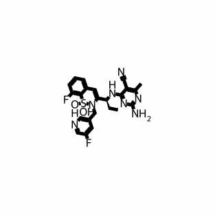 CC[C@H](Nc1nc(N)nc(C)c1C#N)C1=Cc2cccc(F)c2S(O)(O)N1Cc1cncc(F)c1